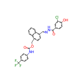 O=C(Nc1ccc(C(F)(F)F)cc1)OCc1ccc(C=NNC(=O)c2ccc(O)c(Cl)c2)c2ccccc12